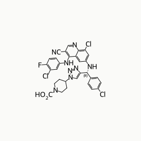 N#Cc1cnc2c(Cl)cc(N[C@H](c3ccc(Cl)cc3)c3cn(C4CCN(C(=O)O)CC4)nn3)cc2c1Nc1ccc(F)c(Cl)c1